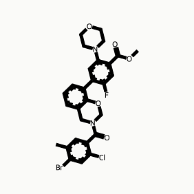 COC(=O)c1cc(F)c(-c2cccc3c2OCN(C(=O)c2cc(C)c(Br)cc2Cl)C3)cc1N1CCOCC1